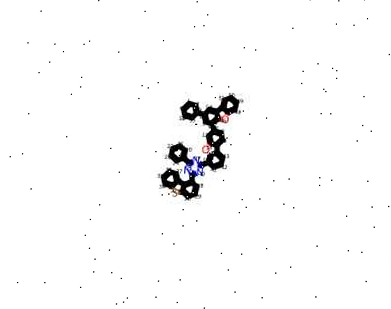 c1ccc(-c2cc(-c3ccc4c(c3)oc3c(-c5nc(-c6ccccc6)nc(-c6cccc7sc8ccccc8c67)n5)cccc34)c3oc4ccccc4c3c2)cc1